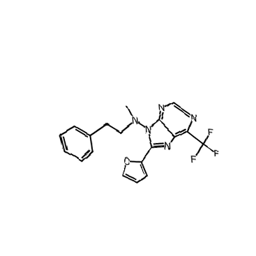 CN(CCc1ccccc1)n1c(-c2ccco2)nc2c(C(F)(F)F)ncnc21